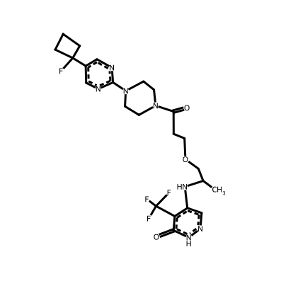 CC(COCCC(=O)N1CCN(c2ncc(C3(F)CCC3)cn2)CC1)Nc1cn[nH]c(=O)c1C(F)(F)F